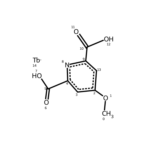 COc1cc(C(=O)O)nc(C(=O)O)c1.[Tb]